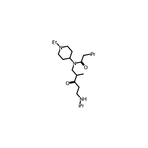 CCN1CCC(N(CC(C)C(=O)CCNC(C)C)C(=O)CC(C)C)CC1